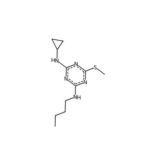 CCCCNc1nc(NC2CC2)nc(SC)n1